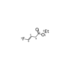 CCOC(=O)CC=CF